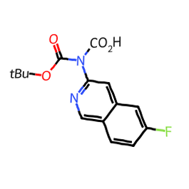 CC(C)(C)OC(=O)N(C(=O)O)c1cc2cc(F)ccc2cn1